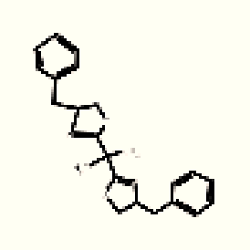 CC(C)(C1=NC(Cc2ccccc2)CO1)C1=NC(Cc2ccccc2)CO1